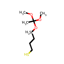 COC(C)(OC)O[SiH2]CCCS